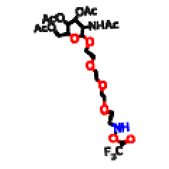 CC(=O)NC1C(OCCOCCOCCOCCNOC(=O)C(F)(F)F)OC(COC(C)=O)C(OC(C)=O)C1OC(C)=O